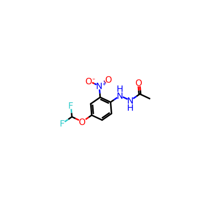 CC(=O)NNc1ccc(OC(F)F)cc1[N+](=O)[O-]